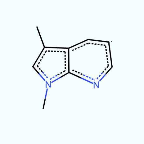 Cc1cn(C)c2nc[c]cc12